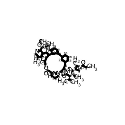 C=CC(=O)N1C[C@H](C(=O)N(C)[C@H](C(=O)N[C@H]2Cc3cccc(c3)-c3ccc4c(c3)c(c(-c3cccnc3[C@H](C)OC)n4CC)CC(C)(C)COC(=O)[C@@H]3CCCN(N3)C2=O)C(C)C)[C@H]1C